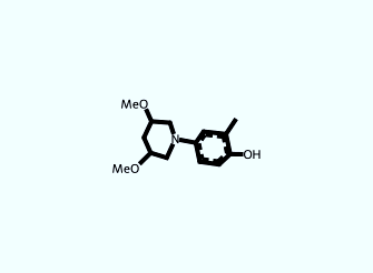 COC1CC(OC)CN(c2ccc(O)c(C)c2)C1